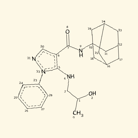 CC(O)CNc1c(C(=O)NC23CC4CC(CC(C4)C2)C3)cnn1-c1ccccc1